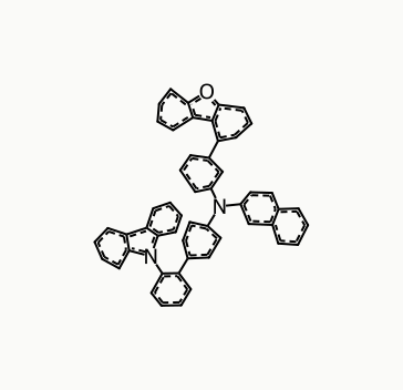 c1cc(-c2cccc3oc4ccccc4c23)cc(N(c2ccc(-c3ccccc3-n3c4ccccc4c4ccccc43)cc2)c2ccc3ccccc3c2)c1